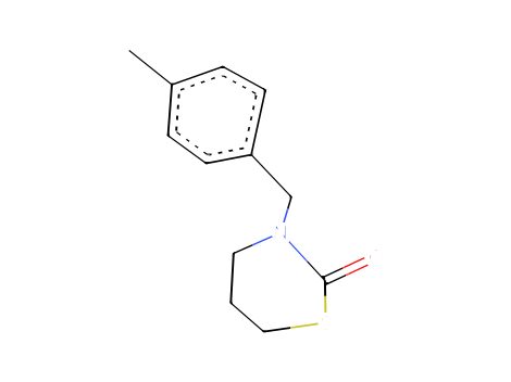 Cc1ccc(CN2CCCSC2=O)cc1